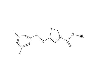 Cc1cc(COC2CCN(C(=O)OC(C)(C)C)C2)cc(C)n1